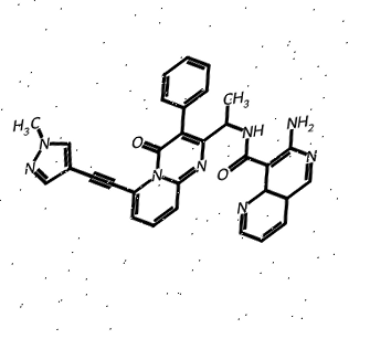 CC(NC(=O)C1=C(N)N=CC2C=CC=NC12)c1nc2cccc(C#Cc3cnn(C)c3)n2c(=O)c1-c1ccccc1